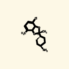 CC1=CC=C(Cl)C2O[C@](C)([C@H]3CC[C@H](N)CC3)OC12